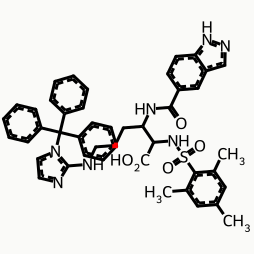 Cc1cc(C)c(S(=O)(=O)NC(C(=O)O)C(CCCNc2nccn2C(c2ccccc2)(c2ccccc2)c2ccccc2)NC(=O)c2ccc3[nH]ncc3c2)c(C)c1